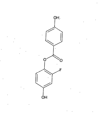 O=C(Oc1ccc(O)cc1F)c1ccc(O)cc1